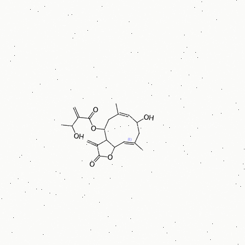 C=C(C(=O)OC1CC(C)=CC(O)C/C(C)=C/C2OC(=O)C(=C)C21)C(C)O